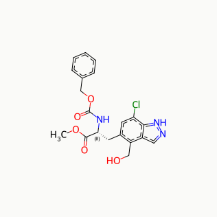 COC(=O)[C@@H](Cc1cc(Cl)c2[nH]ncc2c1CO)NC(=O)OCc1ccccc1